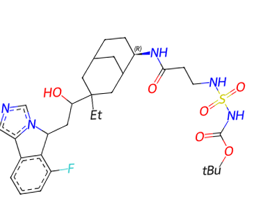 CCC1(C(O)CC2c3c(F)cccc3-c3cncn32)CC2CC[C@@H](NC(=O)CCNS(=O)(=O)NC(=O)OC(C)(C)C)C(C2)C1